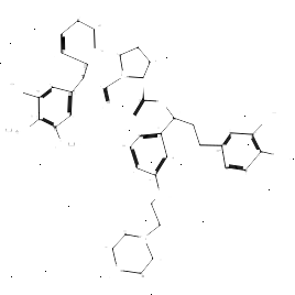 COc1cc([C@@H](C(=O)N2CCC[C@H]2C(=O)OC(CCc2ccc(C)c(C)c2)c2cccc(OCCN3CCOCC3)c2)[C@@H]2C=CCCC2)cc(C)c1OC